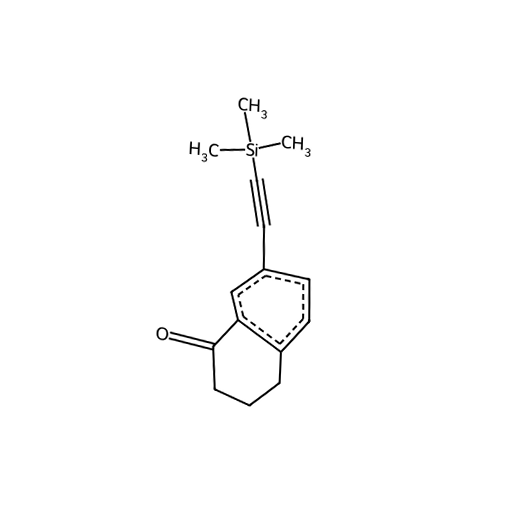 C[Si](C)(C)C#Cc1ccc2c(c1)C(=O)CCC2